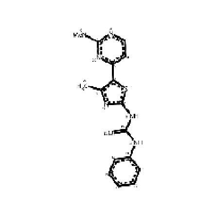 CNc1nccc(-c2sc(NC(=O)Nc3ccccc3)nc2C)n1